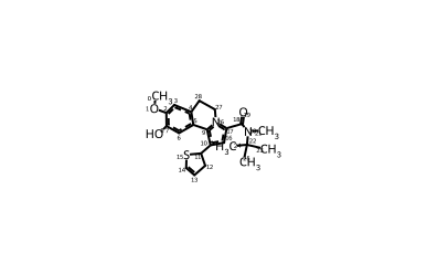 COc1cc2c(cc1O)-c1c(C3CC=CS3)cc(C(=O)N(C)C(C)(C)C)n1CC2